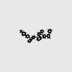 CC(C)(C)c1ccc(-c2ccc(-n3c4ccccc4c4cc(-n5c6ccccc6c6c5ccc5c7ccccc7n(-c7cccc(-c8cccc(-c9ccccc9)c8)c7)c56)ccc43)cc2)cc1